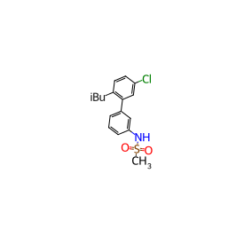 CCC(C)c1ccc(Cl)cc1-c1cccc(NS(C)(=O)=O)c1